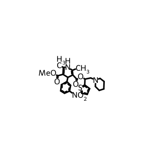 COC(=O)C1=C(C)NC(C)=C(C(=O)OC(CN2CCCCC2)c2cccs2)C1c1cccc([N+](=O)[O-])c1